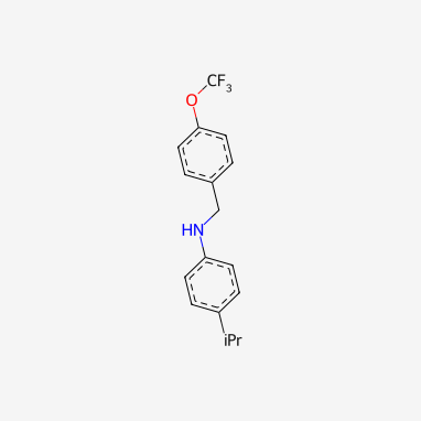 CC(C)c1ccc(NCc2ccc(OC(F)(F)F)cc2)cc1